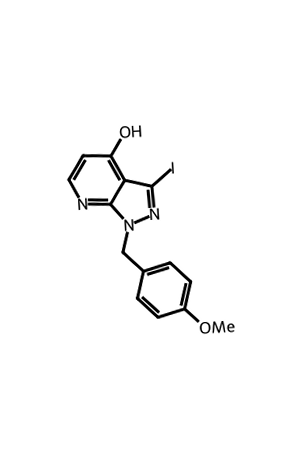 COc1ccc(Cn2nc(I)c3c(O)ccnc32)cc1